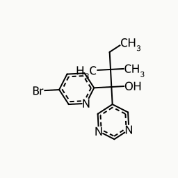 CCC(C)(C)C(O)(c1cncnc1)c1ccc(Br)cn1